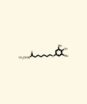 CN(O)C(=O)CCCCCCSc1cc(C(C)(C)C)c(O)c(C(C)(C)C)c1